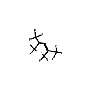 FC(F)(F)C(=CC(C(F)(F)F)C(F)(F)F)C(F)(F)F